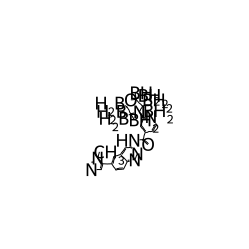 BC1(B)OC(B)(B)C(B)(B)N(c2cc(C(=O)Nc3cc4cc(-c5cncn5C)ccc4nn3)ccn2)C1(B)B